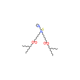 CCCCCC(CCCCC)CCCOC(=O)CCCCCCCN(CCCCCCCC(=O)OCCCC(CCCCC)CCCCC)C(=S)CCN1CCCC1